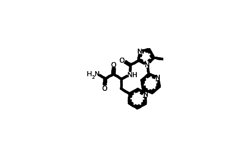 Cc1cnc(C(=O)NC(Cc2cccnc2)C(=O)C(N)=O)n1-c1ccccn1